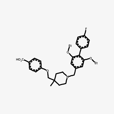 CCOc1cc(CN2CCC(C)(COc3ccc(C(=O)O)cc3)CC2)cc(OCC)c1-c1ccc(F)cc1